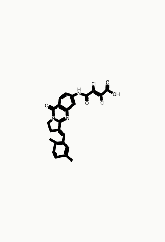 Cc1ccc(C)c(C=C2CCn3c2nc2cc(NC(=O)C(Cl)=C(Cl)C(=O)O)ccc2c3=O)c1